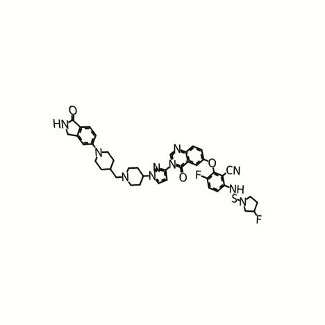 N#Cc1c(NSN2CCC(F)C2)ccc(F)c1Oc1ccc2ncn(-c3ccn(C4CCN(CC5CCN(c6ccc7c(c6)CNC7=O)CC5)CC4)n3)c(=O)c2c1